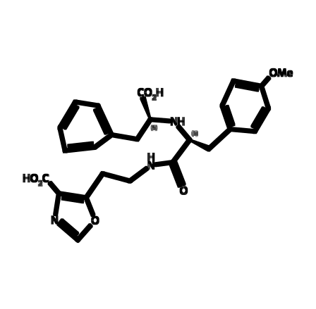 COc1ccc(C[C@H](N[C@@H](Cc2ccccc2)C(=O)O)C(=O)NCCc2ocnc2C(=O)O)cc1